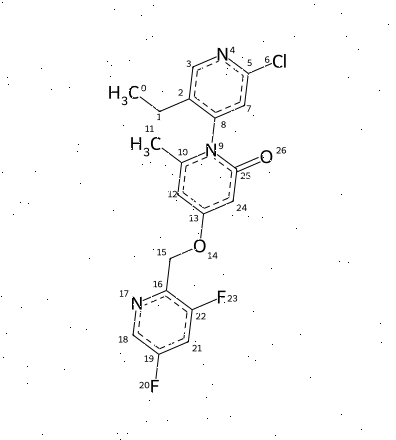 CCc1cnc(Cl)cc1-n1c(C)cc(OCc2ncc(F)cc2F)cc1=O